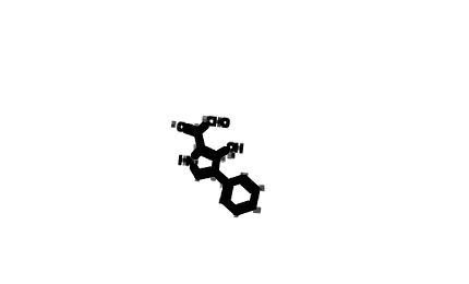 O=CC(=O)c1[nH]cc(-c2ccccc2)c1O